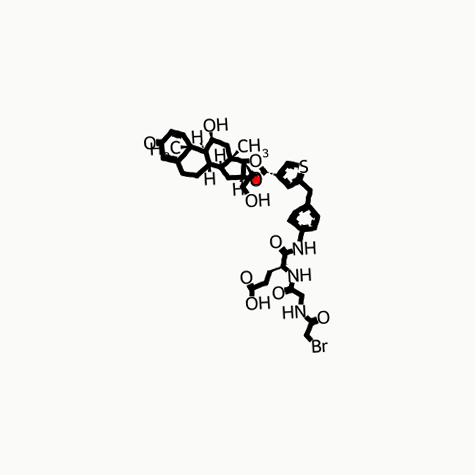 C[C@]12C=CC(=O)C=C1CC[C@@H]1[C@@H]2[C@@H](O)C[C@@]2(C)[C@H]1C[C@H]1O[C@@H](c3csc(Cc4ccc(NC(=O)[C@H](CCC(=O)O)NC(=O)CNC(=O)CBr)cc4)c3)O[C@]12C(=O)CO